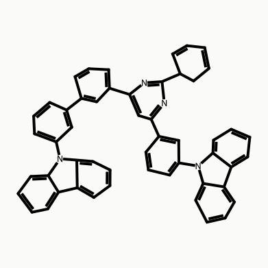 C1=CCC(c2nc(-c3cccc(-c4cccc(-n5c6ccccc6c6ccccc65)c4)c3)cc(-c3cccc(-n4c5ccccc5c5ccccc54)c3)n2)C=C1